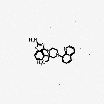 CCC1(c2ccccc2)CN(c2cccc3cccnc23)CCN1c1csc(N)n1